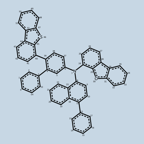 c1ccc(-c2cc(N(c3ccc(-c4ccccc4)c4ccccc34)c3cccc4c3oc3ccccc34)ccc2-c2cccc3c2sc2ccccc23)cc1